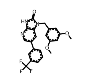 COc1cc(Cn2c(=O)[nH]c3ncc(-c4cccc(C(F)(F)F)c4)cc32)cc(OC)c1